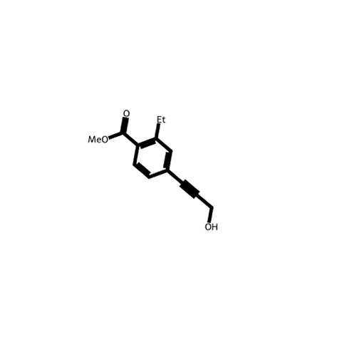 CCc1cc(C#CCO)ccc1C(=O)OC